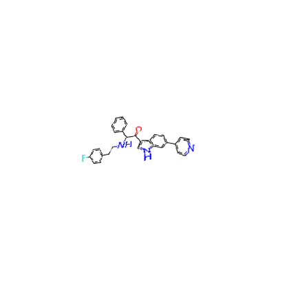 O=C(c1c[nH]c2cc(-c3ccncc3)ccc12)C(NCCc1ccc(F)cc1)c1ccccc1